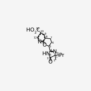 CC(C)C1(C)N=C(C2CCc3cc(C(=O)O)cnc3O2)NC1=O